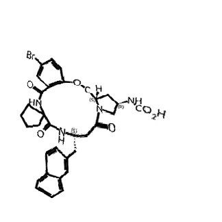 O=C(O)N[C@@H]1C[C@H]2COc3ccc(Br)cc3C(=O)NC3(CCCC3)C(=O)N[C@@H](Cc3ccc4ccccc4c3)CC(=O)N2C1